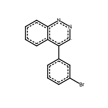 Brc1cccc(-c2[c]nnc3ccccc23)c1